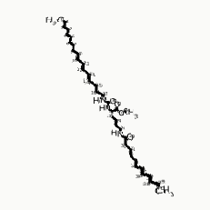 CCCCCCCCCCCCCCCCCCNC(=O)N[C@@H](CCCCNC(=O)CCCCCCCCCCC)C(=O)OC